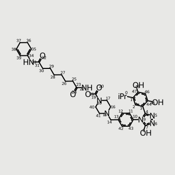 CC(C)c1cc(-c2nnc(O)n2-c2ccc(CN3CCN(C(=O)ONC(=O)CCCCCCC(=O)NC4=CCCC=C4)CC3)cc2)c(O)cc1O